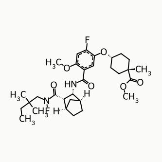 CCC(C)(C)CN(F)C(=O)[C@H]1[C@@H]2CC[C@@H](C2)[C@H]1NC(=O)c1cc(O[C@H]2CC[C@@](C)(C(=O)OC)CC2)c(F)cc1OC